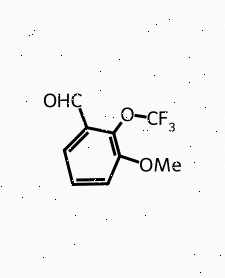 COc1cccc(C=O)c1OC(F)(F)F